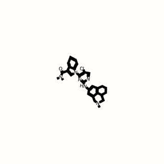 CN1Cc2cc(Nc3ncc(Cl)c(-n4cc(C(=O)N(C)C)c5ccccc54)n3)cc3c2C(CCC3)C1